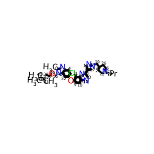 Cc1nc2ccc(Oc3ccc4ncc(-c5cnn(CC6CCN(C(C)C)CC6)c5)nc4c3Cl)cc2n1COCC[Si](C)(C)C